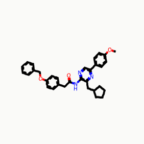 COc1ccc(-c2cnc(NC(=O)Cc3ccc(OCc4ccccc4)cc3)c(CC3CCCC3)n2)cc1